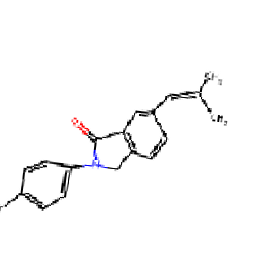 CC(C)=Cc1ccc2c(c1)C(=O)N(c1ccc(C(C)C)cc1)C2